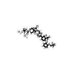 CC(C)(C)OC(=O)N1CCC2(CC1)NC(=O)N(Cc1nc(-c3ccc(Oc4ccccc4SCC(F)(F)F)c(C(F)(F)F)c3)no1)C2=O